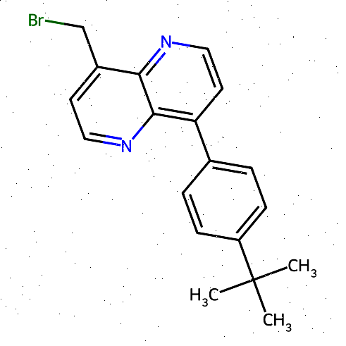 CC(C)(C)c1ccc(-c2ccnc3c(CBr)ccnc23)cc1